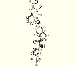 CC(=O)N1Cc2ncnc(Oc3ccc4c(ccn4C(=O)Nc4cc(C(C)(C)C)on4)c3)c2C[C@@H]1C